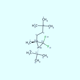 CC(C)(C)CC[C@@]1(C)[C@@H](C(C)(C)C)C1(F)F